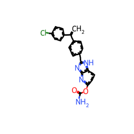 C=C(c1ccc(Cl)cc1)c1ccc(-c2nc3nc(OC(N)=O)ccc3[nH]2)cc1